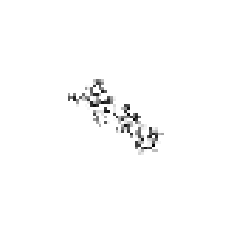 Cc1cc(OC(C)c2ccccc2)cc(=O)n1CCN1C(=O)NC2(CCN(c3nccn4ccnc34)CC2)C1=O